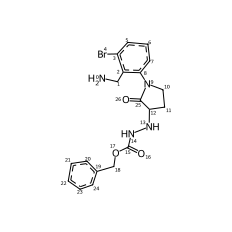 NCc1c(Br)cccc1N1CCC(NNC(=O)OCc2ccccc2)C1=O